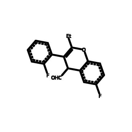 CCC1=C(c2ccccc2F)C(C=O)c2cc(F)ccc2O1